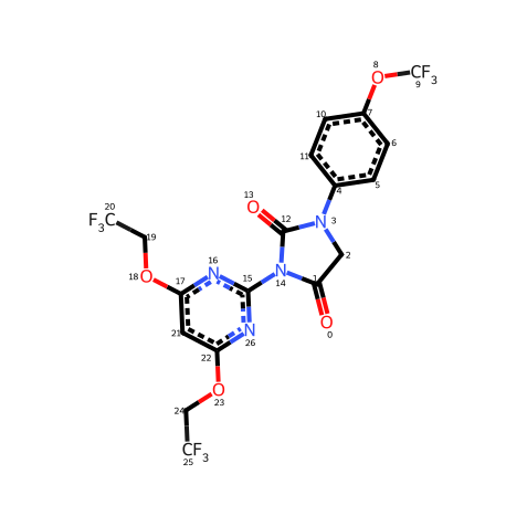 O=C1CN(c2ccc(OC(F)(F)F)cc2)C(=O)N1c1nc(OCC(F)(F)F)cc(OCC(F)(F)F)n1